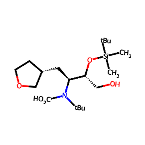 CC(C)(C)N(C(=O)O)[C@@H](C[C@H]1CCOC1)[C@@H](CO)O[Si](C)(C)C(C)(C)C